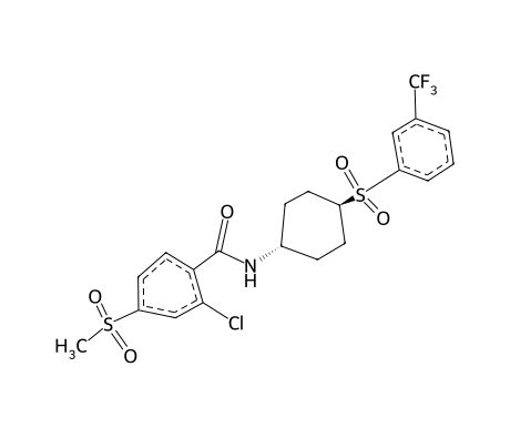 CS(=O)(=O)c1ccc(C(=O)N[C@H]2CC[C@H](S(=O)(=O)c3cccc(C(F)(F)F)c3)CC2)c(Cl)c1